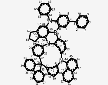 c1ccc(-c2ccc3c(c2)B2c4ccc5cc4N(c4cccc(c4)C(c4ccccc4)(c4ccccc4)c4cccc(c4)N5c4cccc5ccccc45)c4c5c(cc(c42)N3c2ccccc2)CCC5)cc1